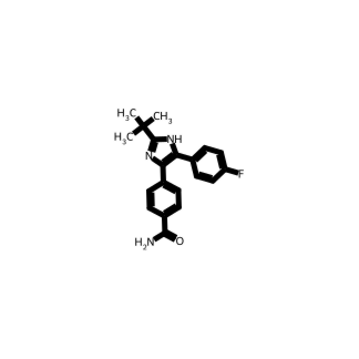 CC(C)(C)c1nc(-c2ccc(C(N)=O)cc2)c(-c2ccc(F)cc2)[nH]1